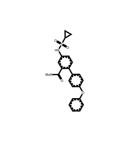 CNC(=O)c1cc(NS(=O)(=O)C2CC2)ccc1-c1ccc(Oc2ccccc2)cc1